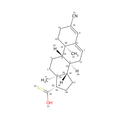 C[C@]12CC[C@H]3[C@@H](CC=C4C=C(C#N)CC[C@@]43C)[C@@H]1CC[C@@H]2C(O)=S